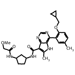 COCC(=O)NC1CCC(NC(=O)c2c(C)[nH]c3c(-c4cc(C)ccc4OCC4CC4)ncnc23)C1